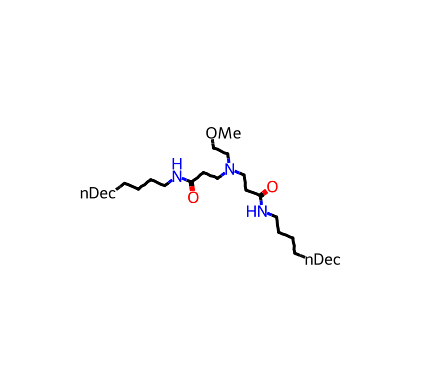 CCCCCCCCCCCCCCNC(=O)CCN(CCOC)CCC(=O)NCCCCCCCCCCCCCC